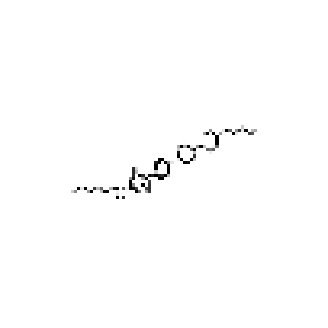 CCCCCCOc1cnc(-c2ccc([C@H]3CC[C@H]([C@H]4CC[C@H](CCCCC)CC4)CC3)cc2)nc1